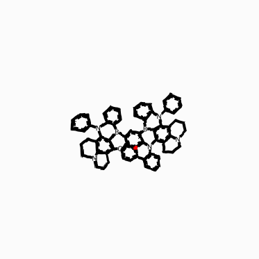 c1ccc(-c2ccccc2N2c3cc4c(cc3B3c5ccccc5N(c5ccccc5)c5c6c7c(c2c53)CCCN7CCC6)B2c3ccccc3N(c3ccccc3)c3c5c6c(c(c32)O4)CCCN6CCC5)cc1